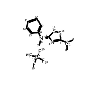 CN(C)c1n/c(=[N+](\C)c2ccccc2)ss1.F[B-](F)(F)F